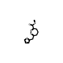 C=NC(=O)C1=NN=C(Cc2cccs2)CCC1